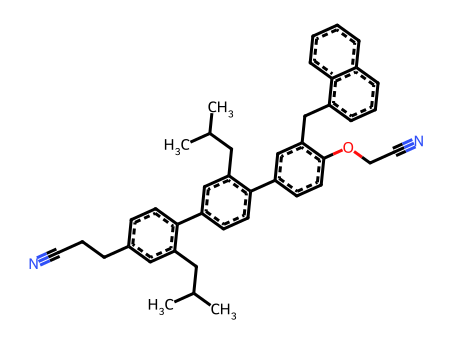 CC(C)Cc1cc(CCC#N)ccc1-c1ccc(-c2ccc(OCC#N)c(Cc3cccc4ccccc34)c2)c(CC(C)C)c1